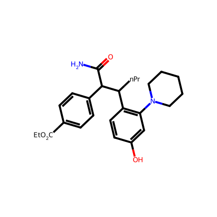 CCCC(c1ccc(O)cc1N1CCCCC1)C(C(N)=O)c1ccc(C(=O)OCC)cc1